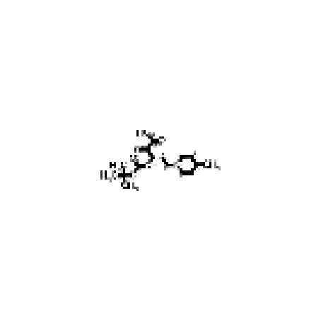 CC1CCN(CC[C@H](NC(=O)OC(C)(C)C)C(=O)C(=O)O)CC1